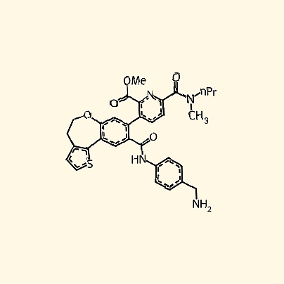 CCCN(C)C(=O)c1ccc(-c2cc3c(cc2C(=O)Nc2ccc(CN)cc2)-c2sccc2CCO3)c(C(=O)OC)n1